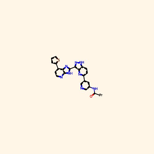 CC(C)C(=O)Nc1cncc(-c2ccc3[nH]nc(-c4nc5c(-c6cccs6)ccnc5[nH]4)c3n2)c1